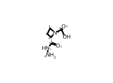 NNC(=O)[C@@H]1CCN1C(=O)O